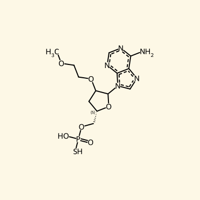 COCCOC1C[C@@H](COP(=O)(O)S)OC1n1cnc2c(N)ncnc21